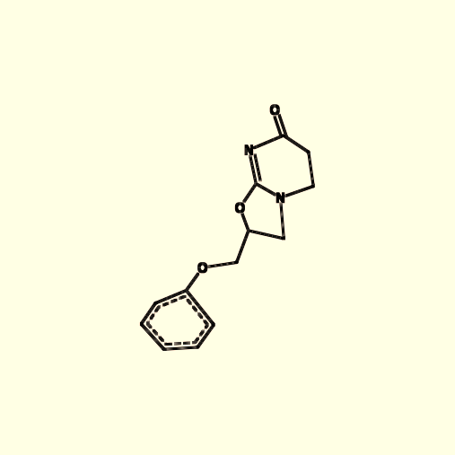 O=C1CCN2CC(COc3ccccc3)OC2=N1